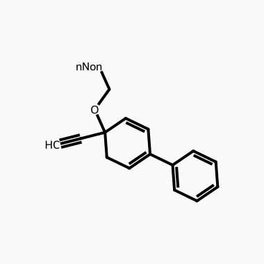 C#CC1(OCCCCCCCCCC)C=CC(c2ccccc2)=CC1